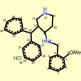 COc1ccccc1CNC1CCNCC1C(c1ccccc1)c1ccccc1.Cl